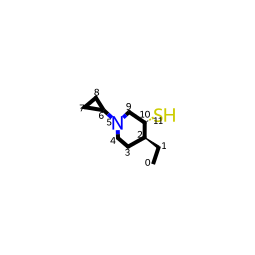 CC[C@H]1CCN(C2CC2)C[C@@H]1S